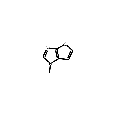 Cn1[c]nc2s[c]cc21